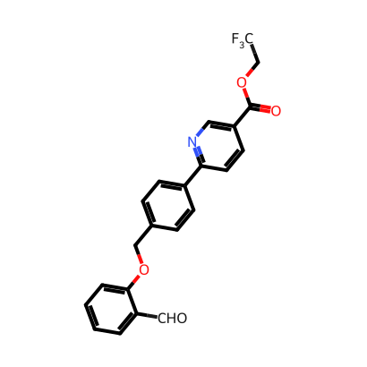 O=Cc1ccccc1OCc1ccc(-c2ccc(C(=O)OCC(F)(F)F)cn2)cc1